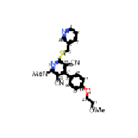 CNc1nc(SCc2cccnc2)c(C#N)c(-c2ccc(OCCOC)cc2)c1C#N